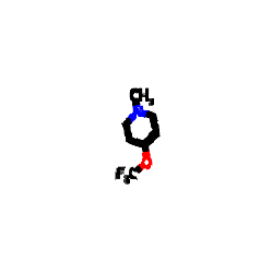 CN1CCC(OC(F)(F)F)CC1